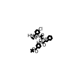 CC(C)(C)OC(=O)c1ccc(NC(=O)C(Cc2ccccc2)NC(=O)C(=O)Nc2cc(Cl)ccc2-c2ncc[nH]2)cc1